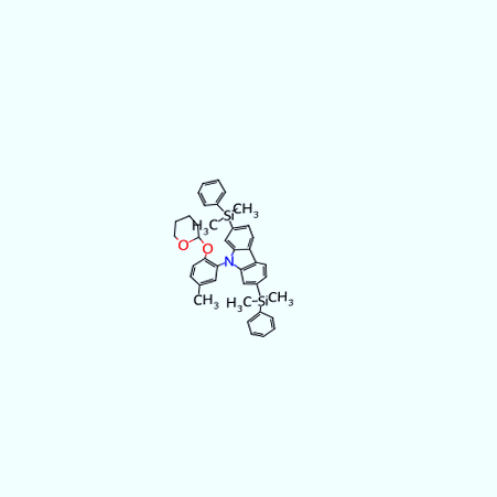 Cc1ccc(OC2CCCCO2)c(-n2c3cc([Si](C)(C)c4ccccc4)ccc3c3ccc([Si](C)(C)c4ccccc4)cc32)c1